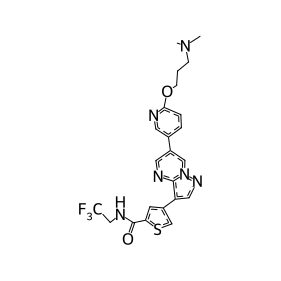 CN(C)CCCOc1ccc(-c2cnc3c(-c4csc(C(=O)NCC(F)(F)F)c4)cnn3c2)cn1